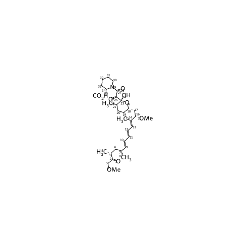 COCC(=O)[C@H](C)C[C@H](C)/C=C/C=C/C=C(\C)[C@H](C[C@@H]1CC[C@@H](C)[C@](O)(C(=O)C(=O)N2CCCC[C@H]2C(=O)O)O1)OC